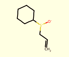 C=CC[S+]([O-])C1CCCCC1